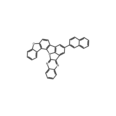 c1ccc2cc(-c3cc4c5ccc6oc7ccccc7c6c5n5c6nc7ccccc7nc6c(c3)c45)ccc2c1